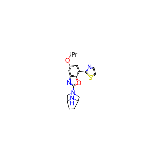 CC(C)Oc1cc(-c2nccs2)c2oc(N3CC4CCC(C3)N4)nc2c1